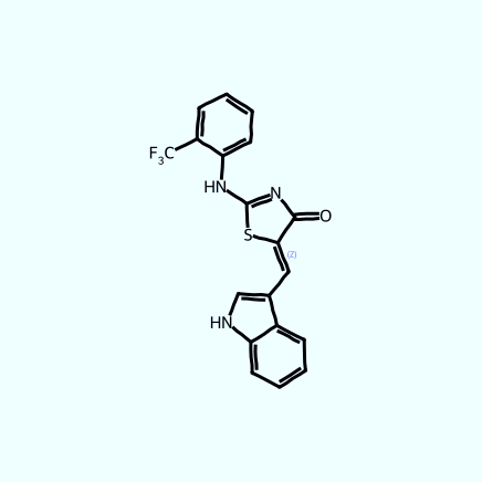 O=C1N=C(Nc2ccccc2C(F)(F)F)S/C1=C\c1c[nH]c2ccccc12